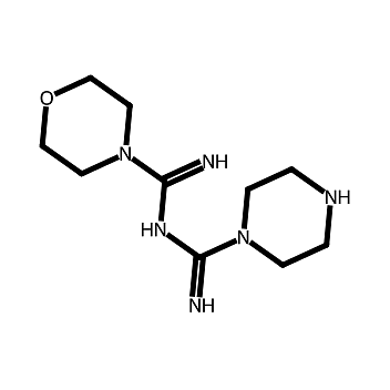 N=C(NC(=N)N1CCOCC1)N1CCNCC1